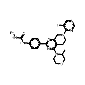 CCNC(=O)Nc1ccc(-c2nc3c(c(N4CCOCC4C)n2)CCN(c2ncncc2F)C3)cc1